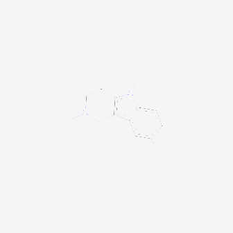 CCCCCCCCn1c2c(c3cc(F)ccc31)CN(C)CC2